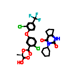 C[C@H](OC(=O)c1cc(Oc2ccc(C(F)(F)F)cc2Cl)ccc1Cl)C(=O)O.O=c1[nH]c2c(c(=O)n1C1CCCCC1)CCC2